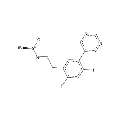 CC(C)(C)[S@@+]([O-])/N=C/Cc1cc(-c2cncnc2)c(F)cc1F